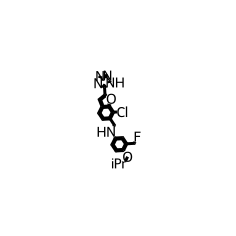 CC(C)Oc1ccc(NCc2ccc3cc(-c4nnn[nH]4)oc3c2Cl)cc1CF